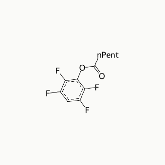 CCCCCC(=O)Oc1c(F)c(F)cc(F)c1F